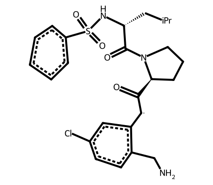 CC(C)C[C@@H](NS(=O)(=O)c1ccccc1)C(=O)N1CCC[C@H]1C(=O)[CH]c1cc(Cl)ccc1CN